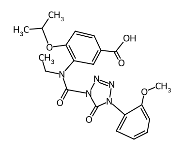 CCN(C(=O)n1nnn(-c2ccccc2OC)c1=O)c1cc(C(=O)O)ccc1OC(C)C